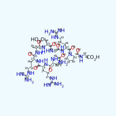 CC(C)[C@H](N)C(=O)N[C@@H](CCCNC(=N)N)C(=O)N[C@@H](CCCNC(=N)N)C(=O)N[C@@H](C)C(=O)N[C@@H](CC(=O)O)C(=O)N[C@@H](CC(N)=O)C(=O)N[C@@H](CCCNC(=N)N)C(=O)N1CCC[C@H]1C(=O)NCC(=O)O